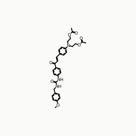 COc1ccc(CNC(=O)Nc2ccc(C(=O)/C=C/c3ccc(N(CCOC(C)=O)CCOC(C)=O)cc3)cc2)cc1